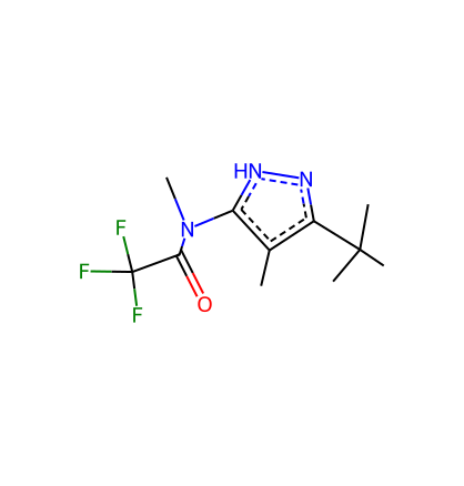 Cc1c(C(C)(C)C)n[nH]c1N(C)C(=O)C(F)(F)F